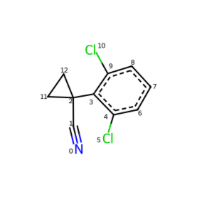 N#CC1(c2c(Cl)cccc2Cl)CC1